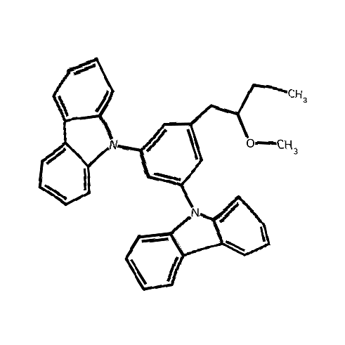 CCC(Cc1cc(-n2c3ccccc3c3ccccc32)cc(-n2c3ccccc3c3ccccc32)c1)OC